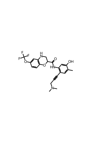 Cc1cc(C#CCN(C)C)c(NC(=O)C2CNc3cc(OC(F)(F)F)ccc3O2)cc1O